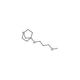 COCCCOC12[CH]N(CC1)CC2